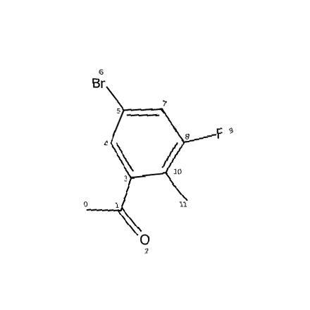 CC(=O)c1cc(Br)cc(F)c1C